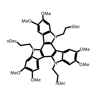 CCCCCCCCCCCCn1c2cc(OC)c(OC)cc2c2c1c1c3cc(OC)c(OC)cc3n(CCCCCCCCCCCC)c1c1c3cc(OC)c(OC)cc3n(CCCCCCCCCCCC)c21